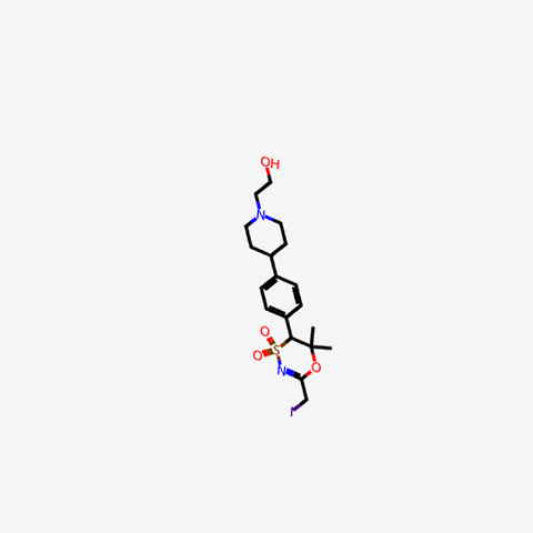 CC1(C)OC(CI)=NS(=O)(=O)C1c1ccc(C2CCN(CCO)CC2)cc1